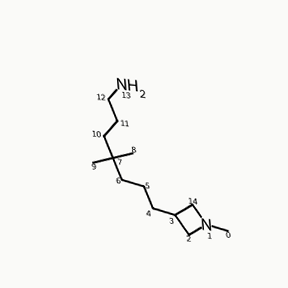 CN1CC(CCCC(C)(C)CCCN)C1